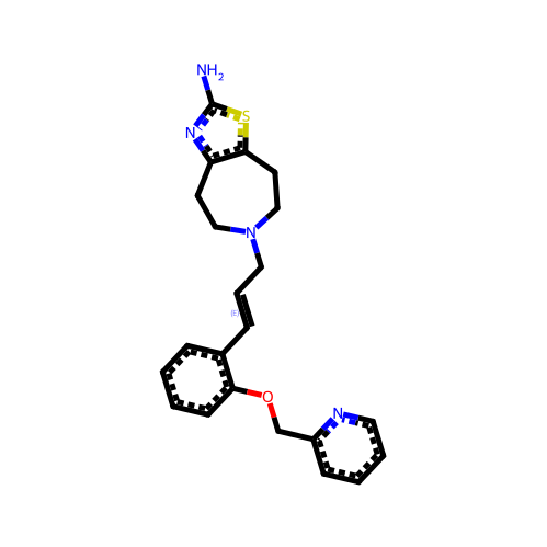 Nc1nc2c(s1)CCN(C/C=C/c1ccccc1OCc1ccccn1)CC2